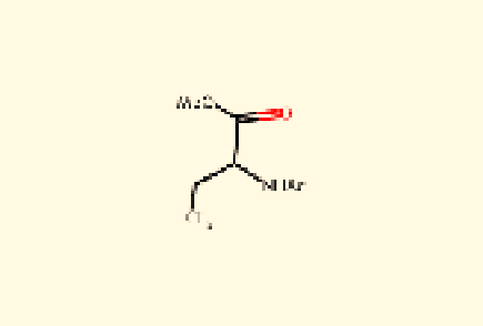 COC(=O)C(CC(F)(F)F)NC(C)=O